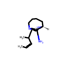 C/C=C\C(C)C1=C(N)N[C@H]2CCCCN1CC2